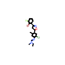 CCN(C)C=Nc1cc(C)c(C2CC(c3cccc(F)c3Br)=NO2)cc1Cl